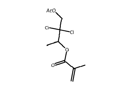 C=C(C)C(=O)OC(C)C(Cl)(Cl)COC(C)=O